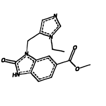 CCn1cncc1Cn1c(=O)[nH]c2ccc(C(=O)OC)cc21